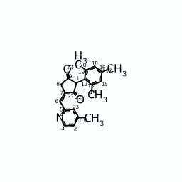 Cc1ccnc(C=C2CC(=O)C(c3c(C)cc(C)cc3C)C2=O)c1